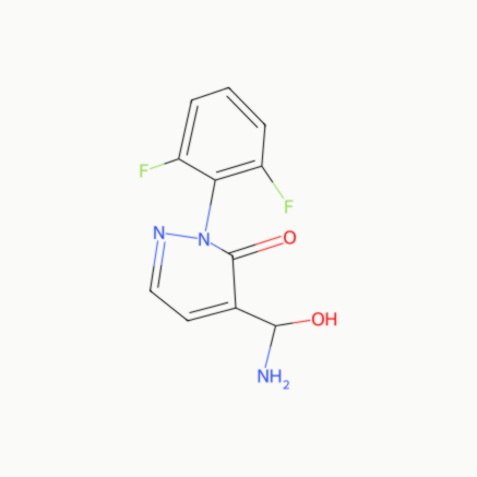 NC(O)c1ccnn(-c2c(F)cccc2F)c1=O